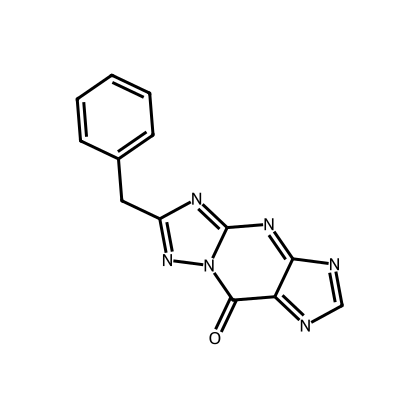 O=c1c2c(nc3nc(Cc4ccccc4)nn13)N=CN=2